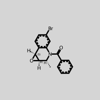 C[C@@H]1[C@H]2O[C@H]2c2ccc(Br)cc2N1C(=O)c1ccccc1